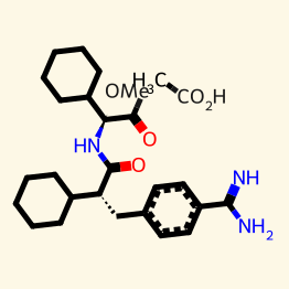 CC(=O)O.COC(=O)[C@@H](NC(=O)[C@H](Cc1ccc(C(=N)N)cc1)C1CCCCC1)C1CCCCC1